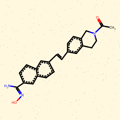 CC(=O)N1CCc2cc(C=Cc3ccc4cc(C(N)=NO)ccc4c3)ccc2C1